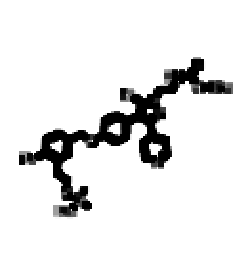 CCc1c(-c2ccc(OCc3ccc(C(C)C)c(CCO[Si](C)(C)C(C)(C)C)c3)cc2)c(-c2ccncc2)nn1CCNC(=O)OC(C)(C)C